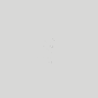 O=C(NS(=O)(=O)c1ccccc1OC(F)(F)F)N1CCCCC1